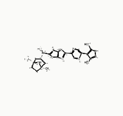 Cc1n[nH]c(C)c1-c1cnc(-c2nc3sc(N(C)[C@H]4C[C@]5(C)CC[C@](C)(C4)N5)nc3s2)cn1